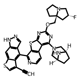 C#Cc1csc2cc3[nH]ncc3c(-c3nccc4c3sc3nc(OC[C@@]56CCCN5C[C@H](F)C6)nc(N5C[C@H]6CC[C@@H](C5)N6)c34)c12